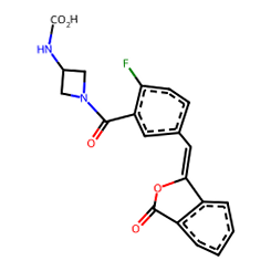 O=C(O)NC1CN(C(=O)c2cc(C=C3OC(=O)c4ccccc43)ccc2F)C1